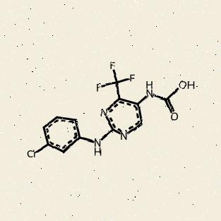 O=C(O)Nc1cnc(Nc2cccc(Cl)c2)nc1C(F)(F)F